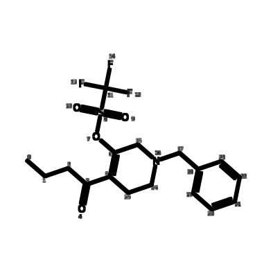 CCCC(=O)C1=C(OS(=O)(=O)C(F)(F)F)CN(Cc2ccccc2)CC1